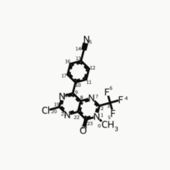 Cn1c(C(F)(F)F)nc2c(-c3ccc(C#N)cc3)nc(Cl)nc2c1=O